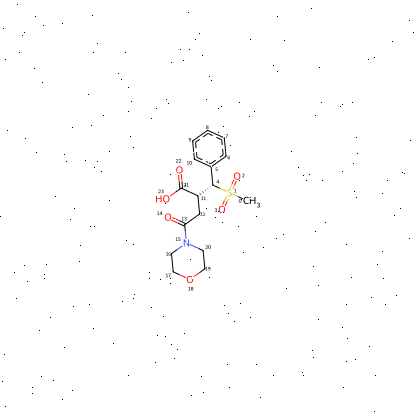 CS(=O)(=O)[C@@H](c1ccccc1)C(CC(=O)N1CCOCC1)C(=O)O